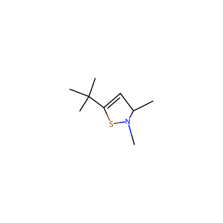 CC1C=C(C(C)(C)C)SN1C